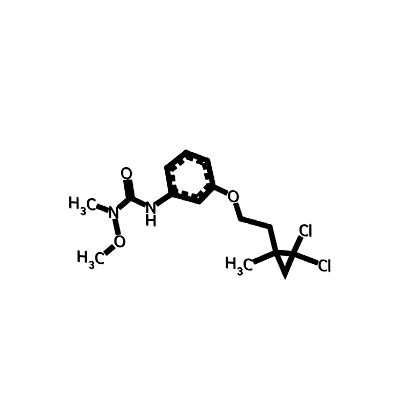 CON(C)C(=O)Nc1cccc(OCCC2(C)CC2(Cl)Cl)c1